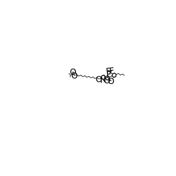 CCCCc1ccc(-c2cc3ccc(OCCCCCCCCCCCOC(=O)C(C)C)nc3oc2=O)c(C(F)(F)F)c1